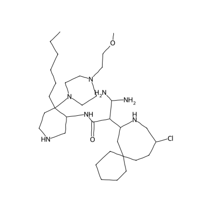 CCCCCCC1(N2CCN(CCOC)CC2)CCNCC1NC(=O)C(C(N)N)C1CC2(CCCCC2)CCC(Cl)CN1